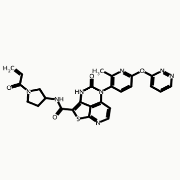 C=CC(=O)N1CCC(NC(=O)c2sc3nccc4c3c2NC(=O)N4c2ccc(Oc3cccnn3)nc2C)C1